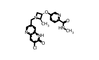 CNC(=O)c1ccc(O[C@H]2CN(Cc3cnc4cc(Cl)c(=O)[nH]c4c3)[C@@H]2C)cn1